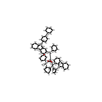 O=P1(c2ccccc2)c2ccccc2C2(c3ccccc3-n3c4ccccc4c4cccc2c43)c2ccc(N(c3ccccc3)c3ccc4c5ccccc5n(-c5ccc(-c6ccccc6)cc5)c4c3)cc21